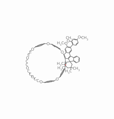 COc1ccc(-c2cc3c4c(c5c(c3cc2OC)Oc2ccc(cc2)Oc2ccc(cc2)OCCOCCOCCOCCOc2ccc(cc2)Oc2ccc(cc2)/C=C\5)C2(CC(C)(C)CC(C)(C)C2)c2ccccc2-4)c(OC)c1